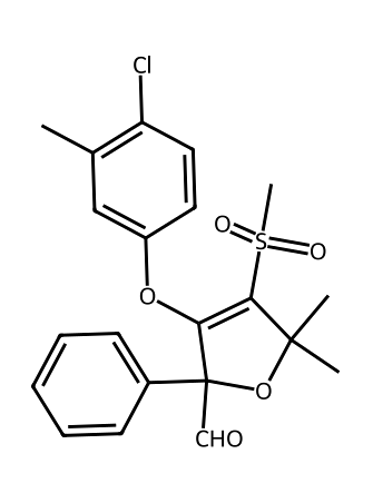 Cc1cc(OC2=C(S(C)(=O)=O)C(C)(C)OC2(C=O)c2ccccc2)ccc1Cl